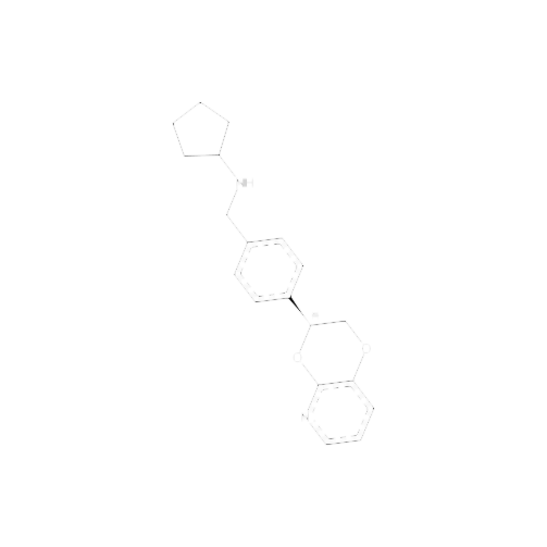 c1cnc2c(c1)OC[C@H](c1ccc(CNC3CCCC3)cc1)O2